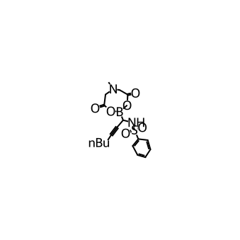 CCCCC#CC(NS(=O)(=O)c1ccccc1)B1OC(=O)CN(C)CC(=O)O1